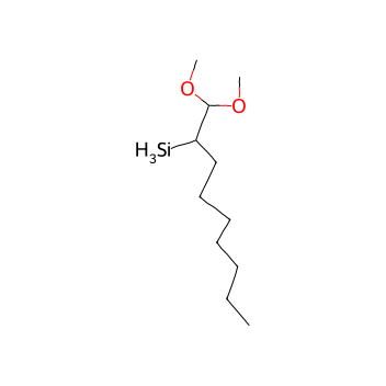 CCCCCCCC([SiH3])C(OC)OC